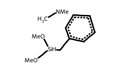 CNC.CO[SiH](Cc1ccccc1)OC